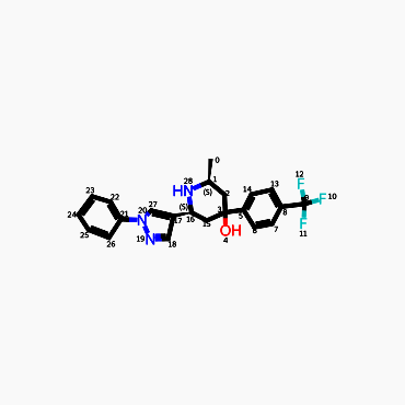 C[C@H]1CC(O)(c2ccc(C(F)(F)F)cc2)C[C@@H](c2cnn(-c3ccccc3)c2)N1